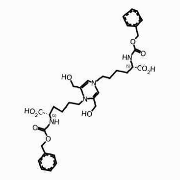 O=C(N[C@@H](CCCCN1C=C(CO)N(CCCC[C@H](NC(=O)OCc2ccccc2)C(=O)O)C(CO)=C1)C(=O)O)OCc1ccccc1